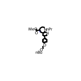 CCCCOCCOc1ccc(-c2cnc3c(c2)/C=C(/C(=O)OC)CCCN3CCC)cc1